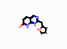 O=c1ccc2cnc(CC3CCCO3)nc2[nH]1